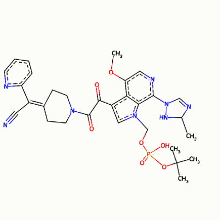 COc1cnc(N2C=NC(C)N2)c2c1c(C(=O)C(=O)N1CCC(=C(C#N)c3ccccn3)CC1)cn2COP(=O)(O)OC(C)(C)C